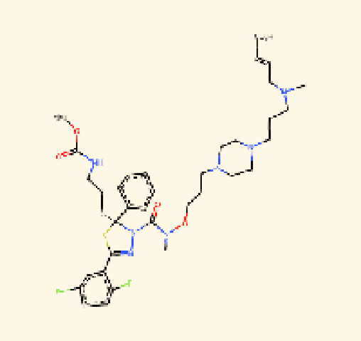 CN(C/C=C/C(=O)O)CCCN1CCN(CCCON(C)C(=O)N2N=C(c3cc(F)ccc3F)S[C@@]2(CCCNC(=O)OC(C)(C)C)c2ccccc2)CC1